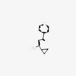 N/C(=C/C(=O)c1ccncc1)C1CC1